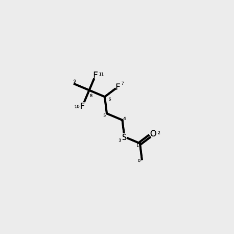 CC(=O)SCCC(F)C(C)(F)F